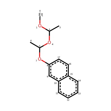 CCOC(C)OC(C)Oc1[c]c2ccccc2cc1